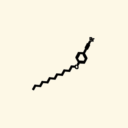 CCCCCCCCCCCCOc1ccc(C#CBr)cc1